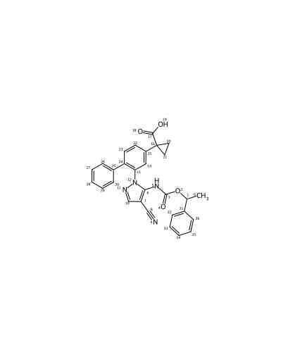 CC(OC(=O)Nc1c(C#N)cnn1-c1cc(C2(C(=O)O)CC2)ccc1-c1ccccc1)c1ccccc1